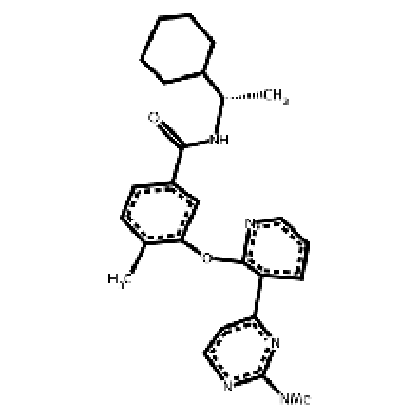 CNc1nccc(-c2cccnc2Oc2cc(C(=O)N[C@@H](C)C3CCCCC3)ccc2C)n1